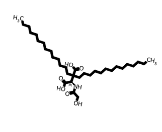 CCCCCCCCCCCCCCC(CCCCCCCCCCCCCC)(C(=O)O)[C@@H](NC(=O)CO)C(=O)O